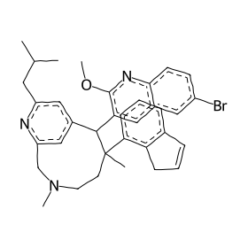 COc1nc2ccc(Br)cc2cc1C1c2cc(CC(C)C)nc(c2)CN(C)CCC1(C)c1cccc2c1CC=C2